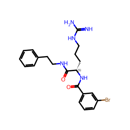 N=C(N)NCCC[C@H](NC(=O)c1cccc(Br)c1)C(=O)NCCc1ccccc1